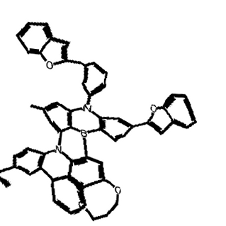 Cc1cc2c3c(c1)N(c1ccc(C(C)(C)C)cc1C1C=CC=CC1)c1cc4c(cc1B3c1ccc(-c3cc5ccccc5o3)cc1N2c1cccc(-c2cc3ccccc3o2)c1)OCCCO4